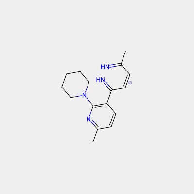 CC(=N)/C=C\C(=N)c1ccc(C)nc1N1CCCCC1